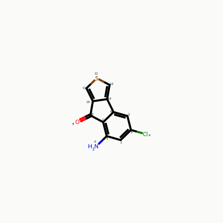 Nc1cc(Cl)cc2c1C(=O)c1cscc1-2